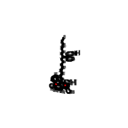 CCCCCCC(CCCCCCCCC(C(=O)O)(c1ccccc1C(=O)OC)c1ccccc1C(=O)OC)C(=O)O